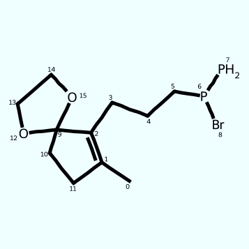 CC1=C(CCCP(P)Br)C2(CC1)OCCO2